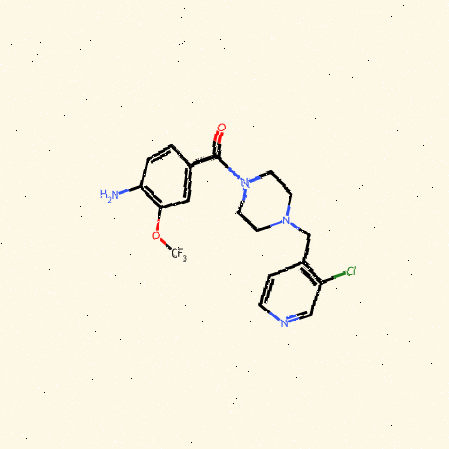 Nc1ccc(C(=O)N2CCN(Cc3ccncc3Cl)CC2)cc1OC(F)(F)F